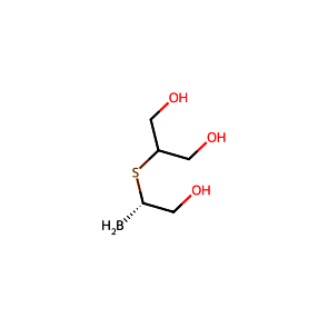 B[C@@H](CO)SC(CO)CO